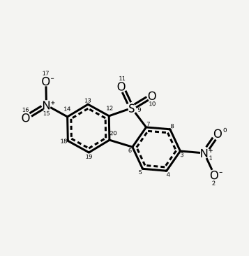 O=[N+]([O-])c1ccc2c(c1)S(=O)(=O)c1cc([N+](=O)[O-])ccc1-2